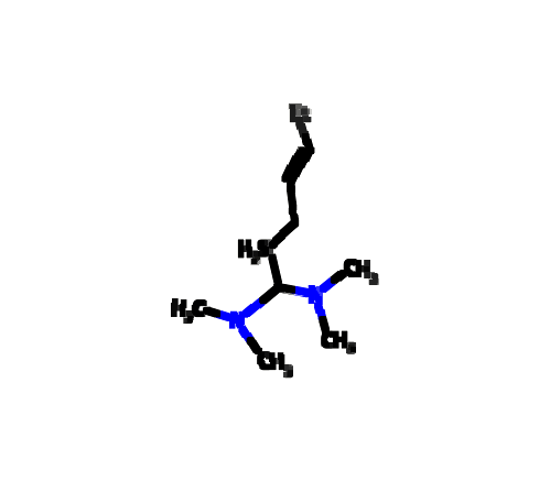 CCC=CC[SiH2]C(N(C)C)N(C)C